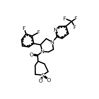 O=C(C1CCS(=O)(=O)CC1)N1CCN(c2ccc(C(F)(F)F)cn2)CC1c1cccc(F)c1F